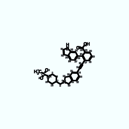 CS(=O)(=O)N1CCC(CN2Cc3ccc(C#Cc4cccc(C(=O)O)c4-c4ccc5cc[nH]c5c4)cc3C2)CC1